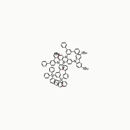 CC(C)(C)c1cc2c3c(c1)N(c1ccc(-c4ccccc4)cc1-c1ccccc1)c1cc(-c4cc([Si](c5ccccc5)(c5ccccc5)c5cccc(-c6ccccc6)c5)cc([Si](c5ccccc5)(c5ccccc5)c5cccc(-c6ccccc6)c5)c4)ccc1B3c1ccc(-n3c4ccc(C(C)(C)C)cc4c4cc(C(C)(C)C)ccc43)cc1N2c1cc(-c2ccccc2)cc(-c2ccccc2)c1